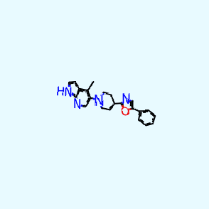 Cc1c(N2CC=C(c3ncc(-c4ccccc4)o3)CC2)cnc2[nH]ccc12